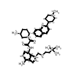 C[C@H]1CC[C@H](c2ccc3ccc(C4CCN(C)CC4)nc3c2)N(C(=O)C(=O)Nc2cnc(N)c3cnn(COCC[Si](C)(C)C)c23)C1